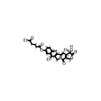 CCC(=O)CCCC(=O)Oc1ccc2nc3c(c(CC)c2c1)Cn1c-3cc2c(c1=O)COC(=O)[C@]2(O)CC